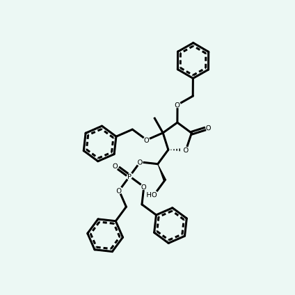 CC1(OCc2ccccc2)C(OCc2ccccc2)C(=O)O[C@@H]1[C@@H](CO)OP(=O)(OCc1ccccc1)OCc1ccccc1